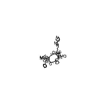 CC[C@H]1OC(=O)[C@H](C)C(=O)[C@H](C)[C@@H](OC2O[C@H](C)C[C@H](N(C)C)[C@H]2OC(=O)c2ccccc2)[C@@](C)(OC)C[C@@H](C)C(=O)[C@H](C)[C@H]2N(CCCCn3cnc(-c4cccnc4)c3)C(=O)O[C@]12C=O